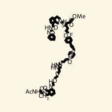 COCOC(=O)c1nc(N2CCc3cccc(C(=O)Nc4nc5ccccc5s4)c3C2)sc1CCCOc1ccc(C#CCN2CCN(C(=O)CCCN3C=C(COCCOCCNc4cccc5c4C(=O)N(C(C)C(=O)NC(C)=O)C5)NN3)CC2)cc1F